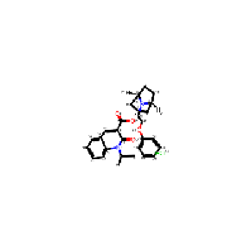 CC(C)n1c(=O)c(C(=O)O[C@H]2C[C@H]3CC[C@@H](C2)N3CCOc2ccccc2)cc2ccccc21.Cl